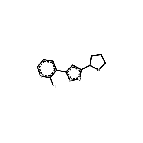 Clc1ncccc1-c1cc(C2CCC[N]2)on1